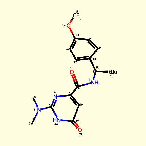 CN(C)c1nc(C(=O)N[C@@H](c2ccc(OC(F)(F)F)cc2)C(C)(C)C)cc(=O)[nH]1